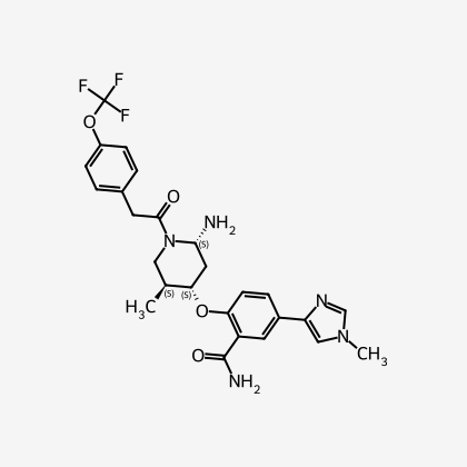 C[C@H]1CN(C(=O)Cc2ccc(OC(F)(F)F)cc2)[C@H](N)C[C@@H]1Oc1ccc(-c2cn(C)cn2)cc1C(N)=O